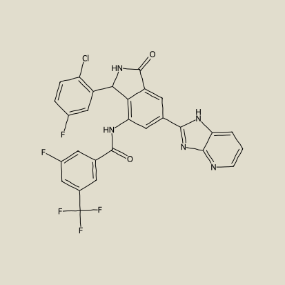 O=C(Nc1cc(-c2nc3ncccc3[nH]2)cc2c1C(c1cc(F)ccc1Cl)NC2=O)c1cc(F)cc(C(F)(F)F)c1